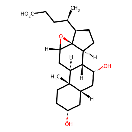 C[C@H](CCC(=O)O)[C@H]1CC[C@H]2[C@@H]3[C@H](O)C[C@@H]4C[C@H](O)CC[C@]4(C)[C@H]3C[C@@H]3O[C@@]312